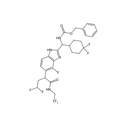 O=C(NC(c1nc2c(F)c(C(CC(F)F)C(=O)NCC(F)(F)F)ccc2[nH]1)C1CCC(F)(F)CC1)OCc1ccccc1